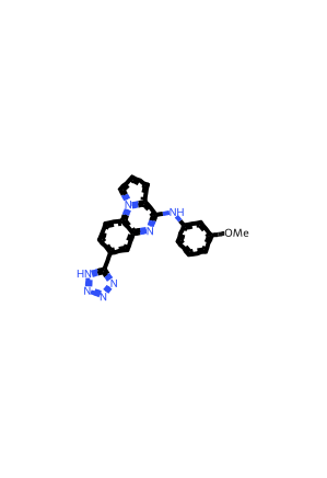 COc1cccc(Nc2nc3cc(-c4nnn[nH]4)ccc3n3cccc23)c1